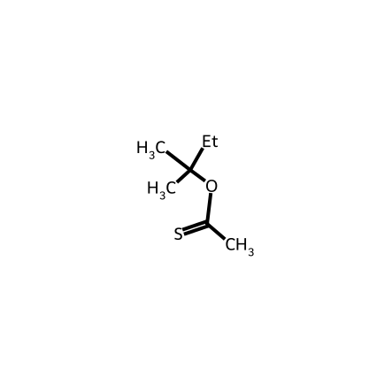 CCC(C)(C)OC(C)=S